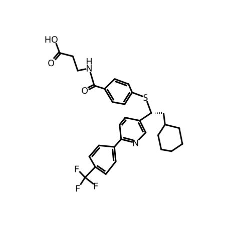 O=C(O)CCNC(=O)c1ccc(S[C@H](CC2CCCCC2)c2ccc(-c3ccc(C(F)(F)F)cc3)nc2)cc1